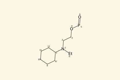 CCN(CCOP=O)C1CCCCC1